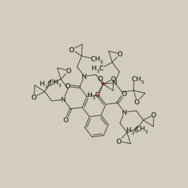 CC1(CN(CC2(C)CO2)C(=O)c2c(C(=O)N(CC3(C)CO3)CC3(C)CO3)c(C(=O)N(CC3(C)CO3)CC3(C)CO3)c3ccccc3c2C(=O)N(CC2(C)CO2)CC2(C)CO2)CO1